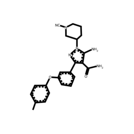 Cc1ccc(Oc2cccc(-c3nn(C4CCCN(C#N)C4)c(N)c3C(N)=O)c2)cc1